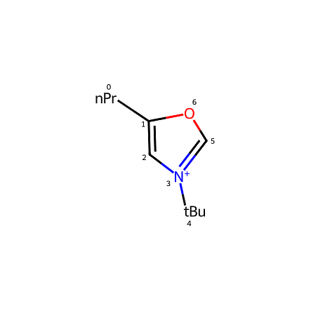 CCCc1c[n+](C(C)(C)C)co1